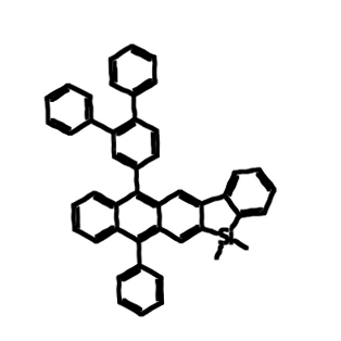 C[Si]1(C)c2ccccc2-c2cc3c(-c4ccc(-c5ccccc5)c(-c5ccccc5)c4)c4ccccc4c(-c4ccccc4)c3cc21